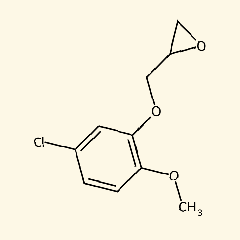 COc1ccc(Cl)cc1OCC1CO1